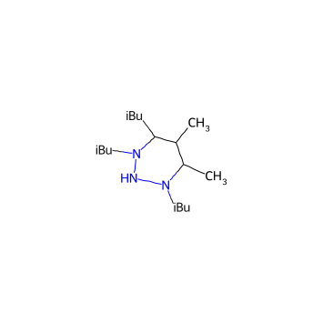 CCC(C)C1C(C)C(C)N(C(C)CC)NN1C(C)CC